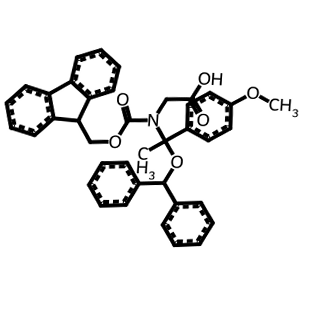 COc1ccc(C(C)(OC(c2ccccc2)c2ccccc2)N(CC(=O)O)C(=O)OCC2c3ccccc3-c3ccccc32)cc1